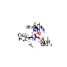 COC(C)(C)c1nc(CO[Si](C)(C)C(C)(C)C)c(S(N)(=O)=N[Si](C)(C)C(C)(C)C)s1